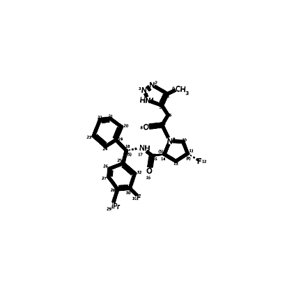 Cc1nn[nH]c1CC(=O)N1C[C@H](F)C[C@H]1C(=O)N[C@@H](c1ccccc1)c1ccc(C(C)C)c(F)c1